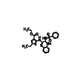 CCOC(=O)c1cc(CC)sc1NC1=Nc2ccccc2NC1NS(=O)(=O)c1ccccc1